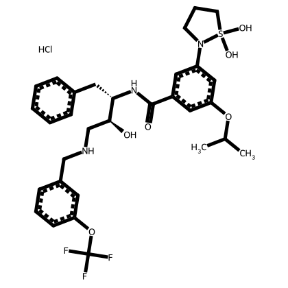 CC(C)Oc1cc(C(=O)N[C@@H](Cc2ccccc2)[C@@H](O)CNCc2cccc(OC(F)(F)F)c2)cc(N2CCCS2(O)O)c1.Cl